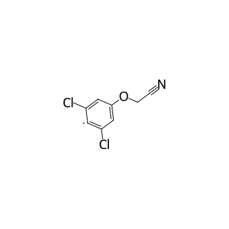 N#CCOc1cc(Cl)[c]c(Cl)c1